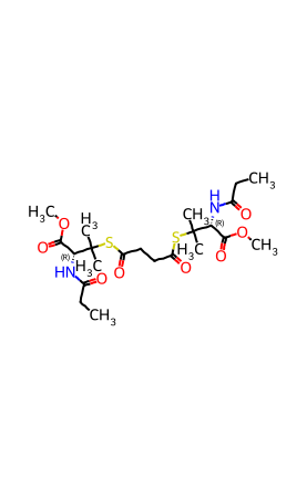 CCC(=O)N[C@H](C(=O)OC)C(C)(C)SC(=O)CCC(=O)SC(C)(C)[C@H](NC(=O)CC)C(=O)OC